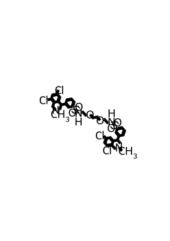 CN1Cc2c(Cl)cc(Cl)cc2C(c2cccc(S(=O)(=O)NCCOCCOCCNS(=O)(=O)c3cccc(C4CN(C)Cc5c(Cl)cc(Cl)cc54)c3)c2)C1